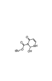 CC(C)(C)OC(=O)N1C(=O)C=CNC1O